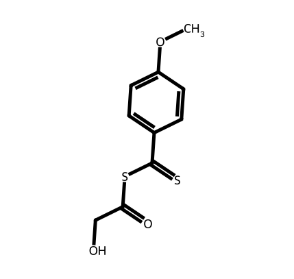 COc1ccc(C(=S)SC(=O)CO)cc1